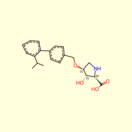 CC(C)c1ccccc1-c1ccc(CO[C@H]2CN[C@@H](C(=O)O)[C@@H]2O)cc1